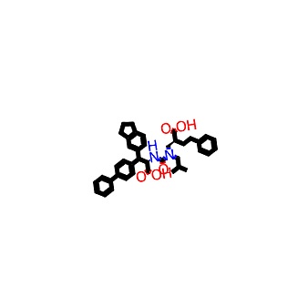 CC(C)CN(C[C@H](CCc1ccccc1)C(=O)O)C(=O)N[C@H](C(=O)O)C(c1ccc(-c2ccccc2)cc1)c1ccc2c(c1)CCC2